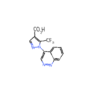 O=C(O)c1cnn(-c2cnnc3ccccc23)c1C(F)(F)F